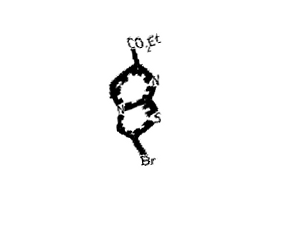 CCOC(=O)c1cn2cc(Br)sc2n1